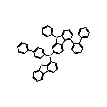 c1ccc(-c2ccc(N(c3ccc4c5c(-c6ccccc6-c6ccccc6)cccc5n(-c5ccccc5)c4c3)c3cccc4c3sc3ccccc34)cc2)cc1